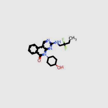 CCC(F)(F)CNc1ncc2c3ccccc3c(=O)n([C@H]3CC[C@H](O)CC3)c2n1